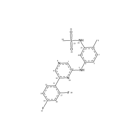 Cc1ccc(Nc2cncc(-c3ccc(F)cc3F)n2)cc1NS(C)(=O)=O